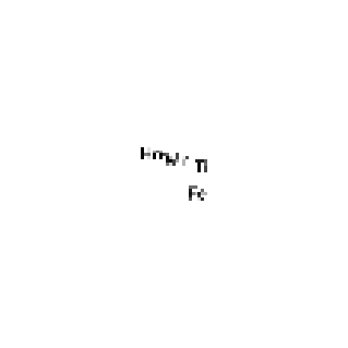 [Fe].[Ho].[Mn].[Ti]